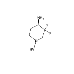 CC(C)N1CC[C@@H](N)C(F)(F)C1